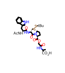 CC(=O)N[C@@H](Cc1c[nH]c2ccccc12)C(=O)N[C@H](CSSC(C)(C)C)C(=O)N1CCC[C@H]1C(=O)OCC(=O)NC(C)C(=O)O